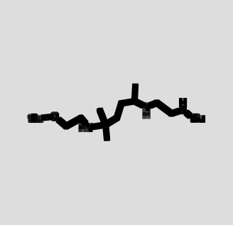 CC(CCC(C)(C)NCCOC(C)(C)C)NCCNC(C)(C)C